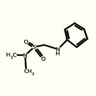 CN(C)S(=O)(=O)CNc1c[c]ccc1